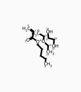 C=CC(=O)OCCCCC.CCOCC.OCCO